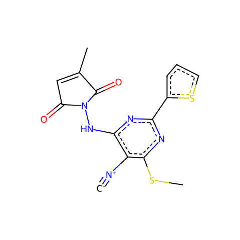 [C-]#[N+]c1c(NN2C(=O)C=C(C)C2=O)nc(-c2cccs2)nc1SC